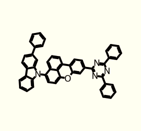 c1ccc(-c2ccc3c4ccccc4n(-c4ccc5c6c(cccc46)-c4ccc(-c6nc(-c7ccccc7)nc(-c7ccccc7)n6)cc4O5)c3c2)cc1